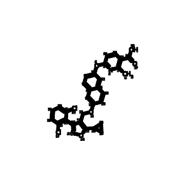 Cc1nc(Oc2ccc3cc(OCc4c(-c5c(Cl)cccc5Cl)noc4C4CC4)ccc3c2)ccc1C(=O)O